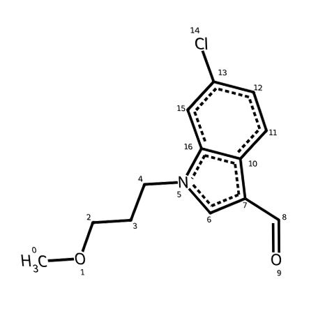 COCCCn1cc(C=O)c2ccc(Cl)cc21